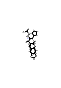 CC(=O)O/N=C(\CC1CCCC1)C(=O)c1cc2cc3c(cc2oc1=O)OCO3